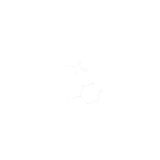 CCCCCCS(=O)(=O)Oc1ccccc1C=O